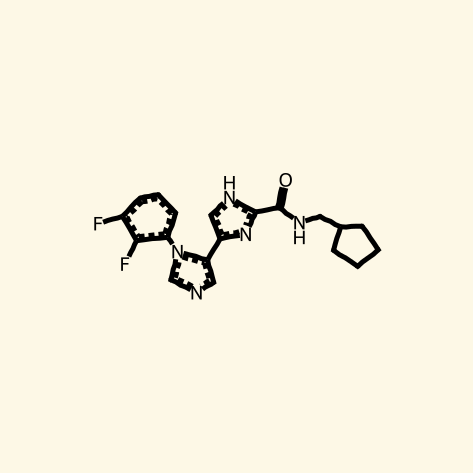 O=C(NCC1CCCC1)c1nc(-c2cncn2-c2cccc(F)c2F)c[nH]1